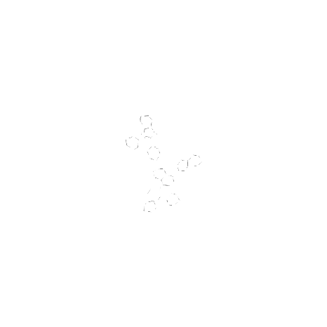 C=C(/C=C\c1ccccc1C)C(=C)c1ccccc1-c1cc(-c2ccc3ccccc3c2)c2cc(-c3ccc(-c4nc5ccccc5n4-c4ccccc4)cc3)ccc2c1C